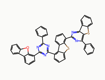 c1ccc(-c2nc(-c3cccc4c3oc3ccccc34)nc(-c3cccc4sc5c(-c6nc(-c7ccccc7)c7sc8ccccc8c7n6)cccc5c34)n2)cc1